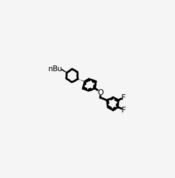 CCCC[C@H]1CC[C@H](c2ccc(OCc3ccc(F)c(F)c3)cc2)CC1